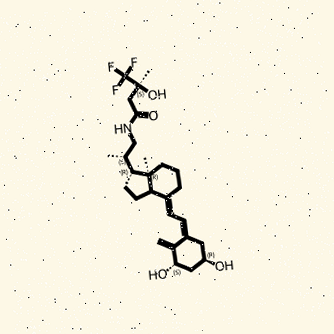 C=C1C(=CC=C2CCC[C@@]3(C)C2CC[C@@H]3[C@H](C)CNC(=O)C[C@](C)(O)C(F)(F)F)C[C@@H](O)C[C@@H]1O